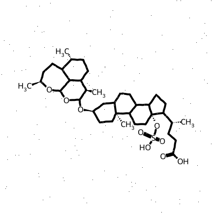 C[C@H]1C(O[C@@H]2CC[C@@]3(C)C(CCC4C3CC[C@@]3(OS(=O)(=O)O)C4CCC3[C@H](C)CCC(=O)O)C2)OC2O[C@@H](C)CCC3C2C1CC[C@H]3C